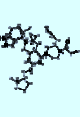 C=CC(=O)N1CCN(c2nc(OC[C@@H]3CCCN3C)nc3c2CC2(CC2)N(c2c(C)ccc4[nH]ncc24)C3)C[C@@H]1CC#N